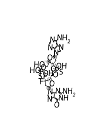 Nc1nc2c(ncn2[C@H]2CC(F)(F)[C@@H](COP(O)(=S)O[C@H]3C[C@H](n4cnc5c(N)ncnc54)O[C@]3(CO)COP(O)(O)=S)O2)c(=O)[nH]1